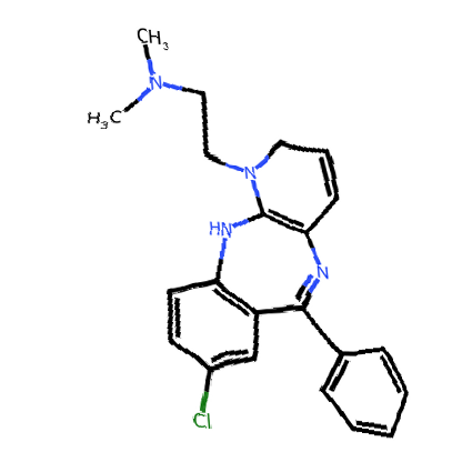 CN(C)CCN1CC=CC2=C1Nc1ccc(Cl)cc1C(c1ccccc1)=N2